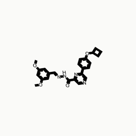 COc1cc(C=NNC(=O)c2cncc(-c3ccc(OC4CCC4)cc3)n2)cc(OC)c1